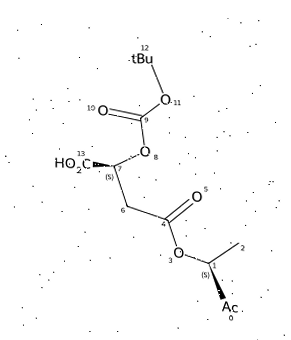 CC(=O)[C@H](C)OC(=O)C[C@H](OC(=O)OC(C)(C)C)C(=O)O